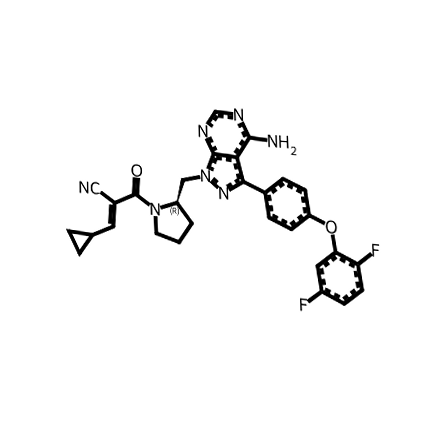 N#CC(=CC1CC1)C(=O)N1CCC[C@@H]1Cn1nc(-c2ccc(Oc3cc(F)ccc3F)cc2)c2c(N)ncnc21